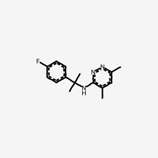 Cc1cc(C)c(NC(C)(C)c2ccc(F)cc2)nn1